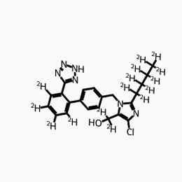 [2H]c1c([2H])c([2H])c(-c2nn[nH]n2)c(-c2ccc(Cn3c(C([2H])([2H])C([2H])([2H])C([2H])([2H])C([2H])([2H])[2H])nc(Cl)c3C([2H])([2H])O)cc2)c1[2H]